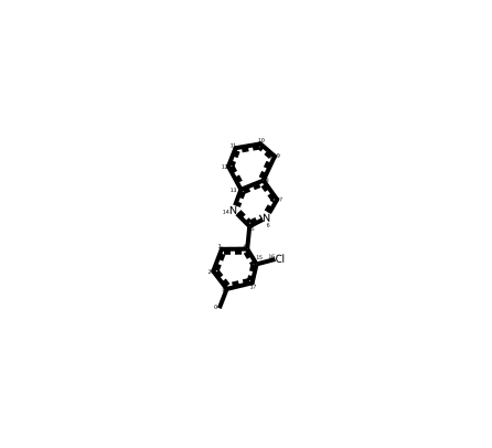 Cc1ccc(-c2ncc3ccccc3n2)c(Cl)c1